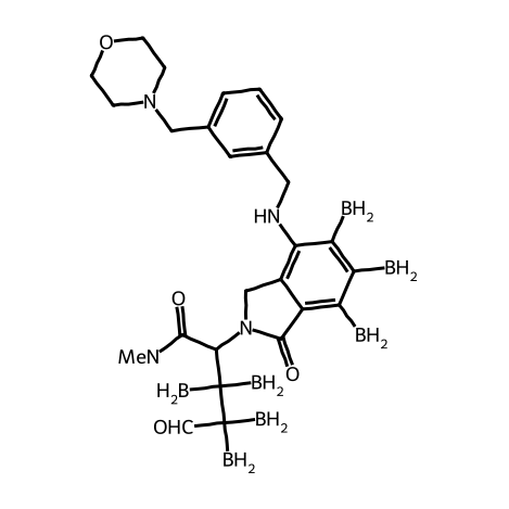 Bc1c(B)c(NCc2cccc(CN3CCOCC3)c2)c2c(c1B)C(=O)N(C(C(=O)NC)C(B)(B)C(B)(B)C=O)C2